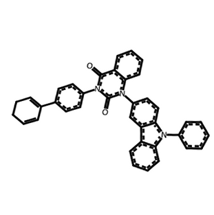 O=c1c2ccccc2n(-c2ccc3c(c2)c2ccccc2n3-c2ccccc2)c(=O)n1-c1ccc(C2=CCCC=C2)cc1